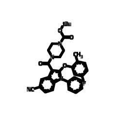 Cc1ccc(F)cc1Oc1c(C(=O)N2CCN(C(=O)OC(C)(C)C)CC2)c2cc(C#N)ccc2n1-c1ccccc1